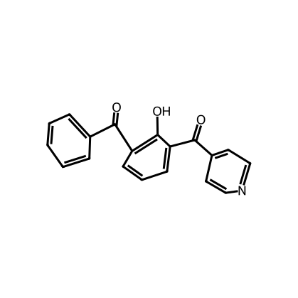 O=C(c1ccccc1)c1cccc(C(=O)c2ccncc2)c1O